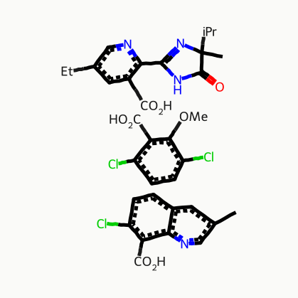 CCc1cnc(C2=NC(C)(C(C)C)C(=O)N2)c(C(=O)O)c1.COc1c(Cl)ccc(Cl)c1C(=O)O.Cc1cnc2c(C(=O)O)c(Cl)ccc2c1